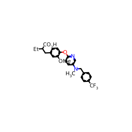 CCC(Cc1ccc(Oc2ccc(N(C)Cc3ccc(C(F)(F)F)cc3)cn2)c(OC)c1)C(=O)O